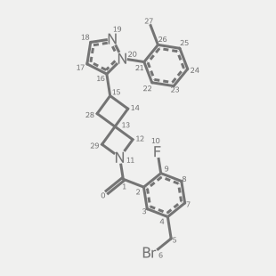 C=C(c1cc(CBr)ccc1F)N1CC2(CC(c3ccnn3-c3ccccc3C)C2)C1